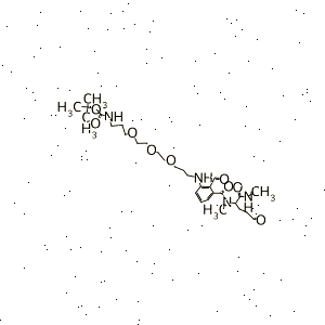 CNC(=O)C(CCC=O)N(C)C(=O)c1cccc(NCCCOCCOCCOCCCNC(=O)OC(C)(C)C)c1C=O